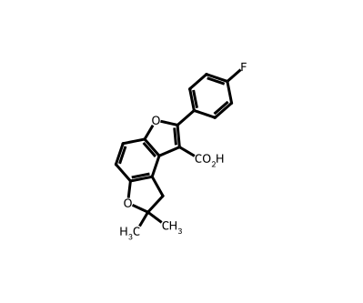 CC1(C)Cc2c(ccc3oc(-c4ccc(F)cc4)c(C(=O)O)c23)O1